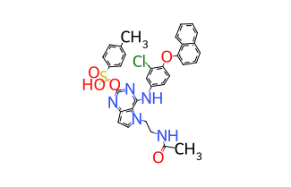 CC(=O)NCCn1ccc2ncnc(Nc3ccc(Oc4cccc5ccccc45)c(Cl)c3)c21.Cc1ccc(S(=O)(=O)O)cc1